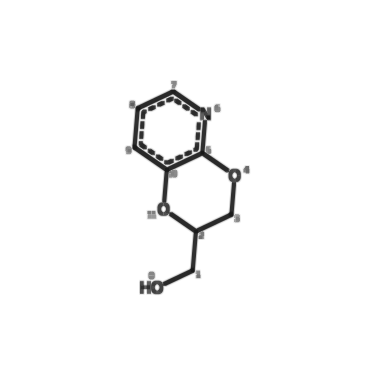 OCC1COc2ncccc2O1